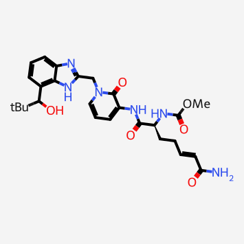 COC(=O)N[C@@H](CC/C=C/C(N)=O)C(=O)Nc1cccn(Cc2nc3cccc(C(O)C(C)(C)C)c3[nH]2)c1=O